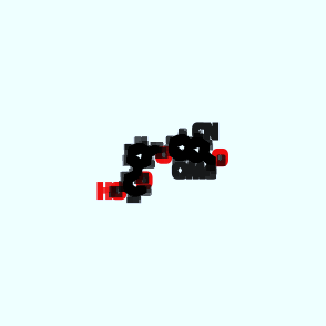 COC(=O)c1cc(C#N)c2ccc(OCc3cccc(C4CC(O)CCO4)c3)cc2c1